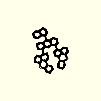 c1ccc2c(c1)Oc1cccc3c(-c4cccc5c(-c6cccc7ccccc67)c6cccc(-c7ccc8c9c(cccc79)Oc7ccccc7-8)c6cc45)ccc-2c13